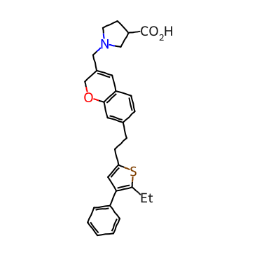 CCc1sc(CCc2ccc3c(c2)OCC(CN2CCC(C(=O)O)C2)=C3)cc1-c1ccccc1